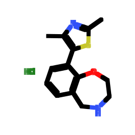 Cc1nc(C)c(-c2cccc3c2OCCNC3)s1.Cl